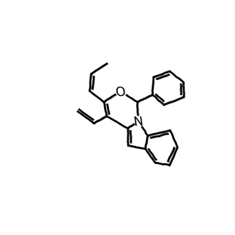 C=CC1=C(/C=C\C)OC(c2ccccc2)n2c1cc1ccccc12